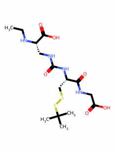 CCN[C@@H](CNC(=O)N[C@@H](CSSC(C)(C)C)C(=O)NCC(=O)O)C(=O)O